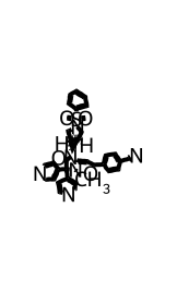 CN1C(=CC(=O)c2ccc(C#N)cc2)N([C@H]2[C@@H]3CN(S(=O)(=O)c4ccccc4)C[C@@H]32)C(=O)C1(c1ccncc1)c1ccncc1